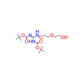 CC(C)(C)OC(=O)/N=C(/NOCCOCCO)NC(=O)OC(C)(C)C